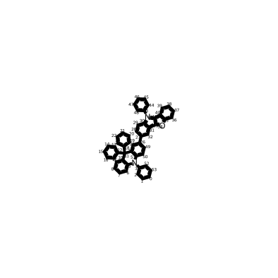 c1ccc(N2c3ccccc3C(c3ccccc3)(c3ccccc3)c3cc(-c4ccc5c(c4)c4oc6ccccc6c4n5-c4ccccc4)ccc32)cc1